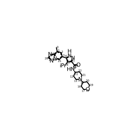 Cc1cc(-c2[nH]nc(C(=O)NC3CCN(C4CCOCC4)CC3)c2C(C)C)cn2ncnc12